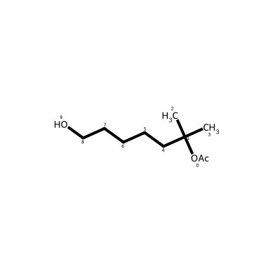 CC(=O)OC(C)(C)CCCCCO